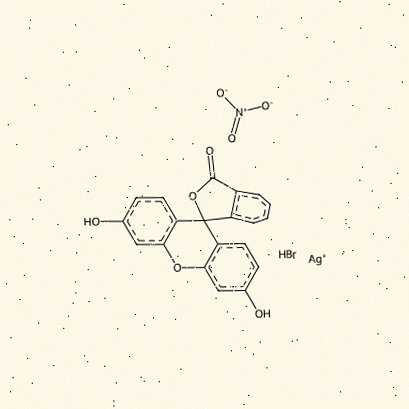 Br.O=C1OC2(c3ccc(O)cc3Oc3cc(O)ccc32)c2ccccc21.O=[N+]([O-])[O-].[Ag+]